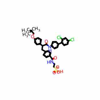 CC(C)(C)COc1ccc(C(Cc2ccc(C(=O)NCCS(=O)(=O)O)cc2)C(=O)Nc2ccc(-c3ccc(Cl)cc3Cl)cc2)cc1